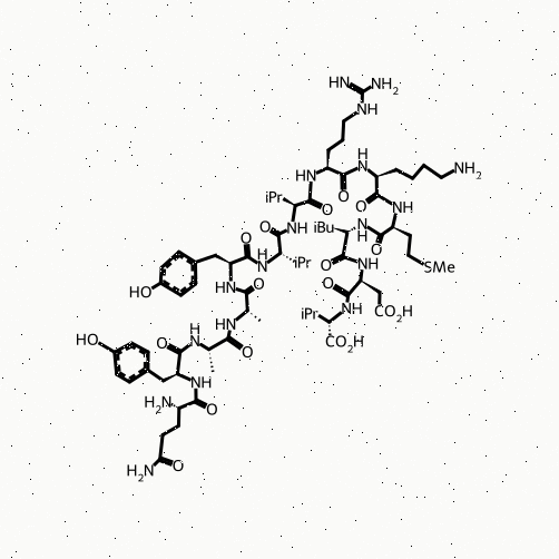 CC[C@H](C)[C@H](NC(=O)[C@H](CCSC)NC(=O)[C@H](CCCCN)NC(=O)[C@H](CCCNC(=N)N)NC(=O)[C@@H](NC(=O)[C@@H](NC(=O)[C@H](Cc1ccc(O)cc1)NC(=O)[C@H](C)NC(=O)[C@H](C)NC(=O)[C@H](Cc1ccc(O)cc1)NC(=O)[C@@H](N)CCC(N)=O)C(C)C)C(C)C)C(=O)N[C@@H](CC(=O)O)C(=O)N[C@H](C(=O)O)C(C)C